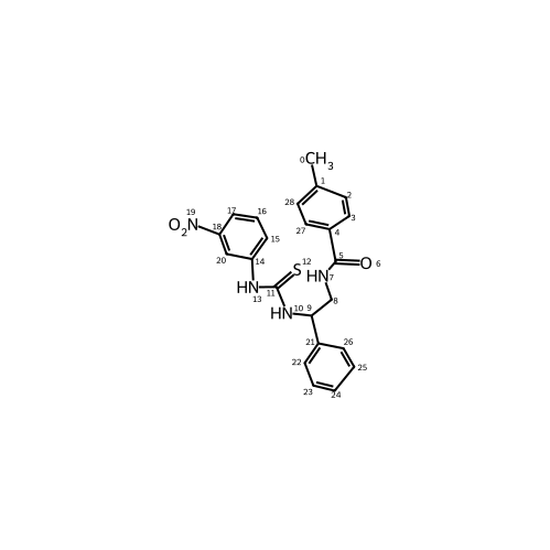 Cc1ccc(C(=O)NCC(NC(=S)Nc2cccc([N+](=O)[O-])c2)c2ccccc2)cc1